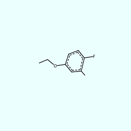 CCOc1ccc(F)c(C)c1